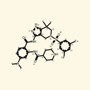 CN(C)c1ccc(C(=O)Nc2n[nH]c3c2CN(S(=O)(=O)c2cc(F)cc(F)c2)CC3(C)C)c(NC(=O)C2CCNCC2)c1